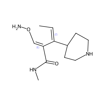 C/C=C(\C(=C/ON)C(=O)NC)C1CCNCC1